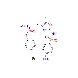 CCCC.CO[PH](=O)Oc1ccccc1.Cc1nc(NS(=O)(=O)c2ccc(N)cc2)oc1C